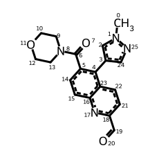 Cn1cc(-c2c(C(=O)N3CCOCC3)ccc3nc(C=O)ccc23)cn1